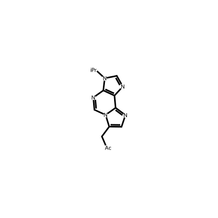 CC(=O)Cc1cnc2c3ncn(C(C)C)c3ncn12